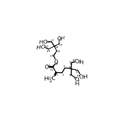 C=C(CCC(CO)(CO)CO)C(=O)OCCC(CO)(CO)CO